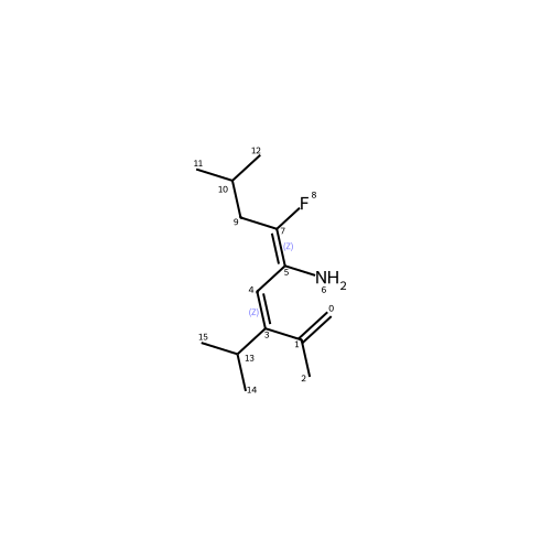 C=C(C)/C(=C\C(N)=C(\F)CC(C)C)C(C)C